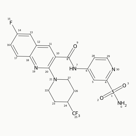 NS(=O)(=O)c1cc(NC(=O)c2cc3cc(F)ccc3nc2N2CCC(C(F)(F)F)CC2)ccn1